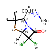 CC1(C)S[C@H]2N(C(=O)C2(Br)Br)[C@H]1C(=O)O.CCCCN